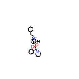 C[C@@](C(=O)O[C@H]1C[N+]2(CCc3ccccc3)CCC1CC2)(c1ccccc1)N1CCCCC1